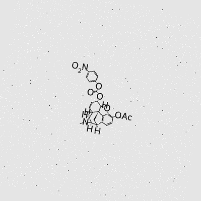 CC(=O)Oc1ccc2c3c1O[C@H]1[C@@H](OC(=O)Oc4ccc([N+](=O)[O-])cc4)C=C[C@H]4[C@H]5[C@@H]([C@@H]2C[C@@]341)N5C